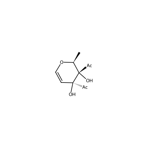 CC(=O)[C@]1(O)C=CO[C@@H](C)[C@@]1(O)C(C)=O